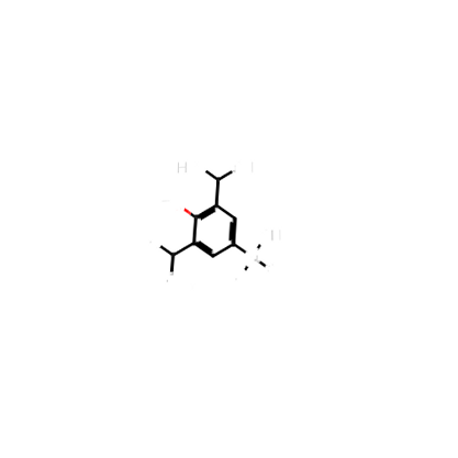 CC(C)c1cc([Si](C)(C)C)cc(C(C)C)c1[O-].[Li+]